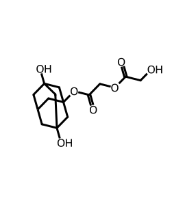 O=C(CO)OCC(=O)OC12CC3CC(O)(CC(O)(C3)C1)C2